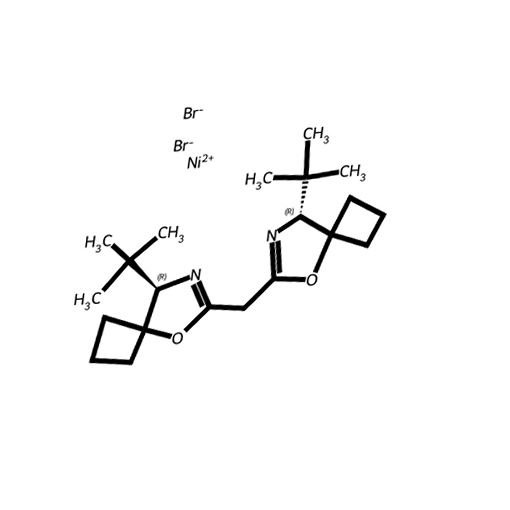 CC(C)(C)[C@H]1N=C(CC2=N[C@H](C(C)(C)C)C3(CCC3)O2)OC12CCC2.[Br-].[Br-].[Ni+2]